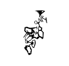 Cc1ccc(Cn2c(C(=O)NC3CC3)cc3c2-c2[nH]c(=O)c(S(=O)(=O)c4ccccc4)cc2CC3)cc1